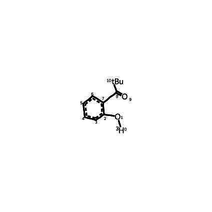 [3H]Oc1ccccc1C(=O)C(C)(C)C